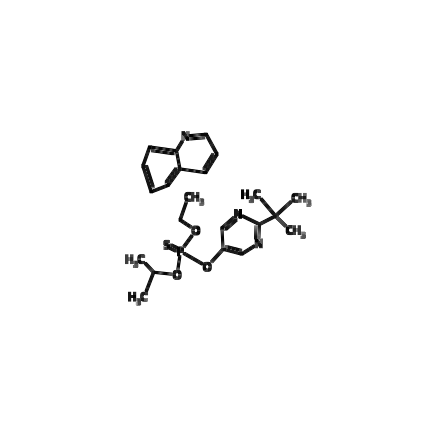 CCOP(=S)(Oc1cnc(C(C)(C)C)nc1)OC(C)C.c1ccc2ncccc2c1